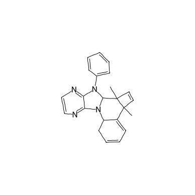 CC12C=CC1(C)C1N(c3ccccc3)c3nccnc3N1C1CC=CC=C12